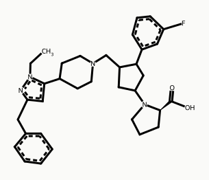 CCn1nc(Cc2ccccc2)cc1C1CCN(CC2CC(N3CCC[C@@H]3C(=O)O)CC2c2cccc(F)c2)CC1